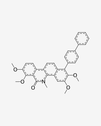 COc1cc2c(ccc3c4ccc(OC)c(OC)c4c(=O)n(C)c23)c(-c2ccc(-c3ccccc3)cc2)c1OC